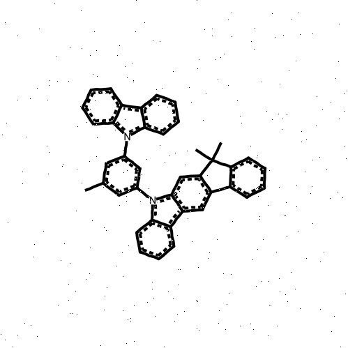 Cc1cc(-n2c3ccccc3c3ccccc32)cc(-n2c3ccccc3c3cc4c(cc32)C(C)(C)c2ccccc2-4)c1